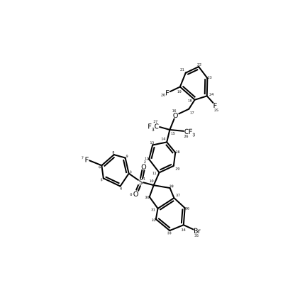 O=S(=O)(c1ccc(F)cc1)C1(c2ccc(C(OCc3c(F)cccc3F)(C(F)(F)F)C(F)(F)F)cc2)Cc2ccc(Br)cc2C1